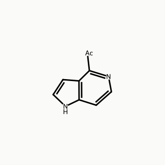 CC(=O)c1nccc2[nH]ccc12